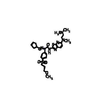 COCCCS(=O)(=O)c1ccc(/C(=N\OC2CCCC2)C(=O)Nc2nc3ccc(N(C)CCN(C)C)nc3s2)cc1